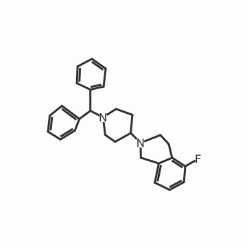 Fc1cccc2c1CCN(C1CCN(C(c3ccccc3)c3ccccc3)CC1)C2